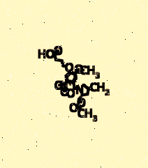 C=C1C[C@@H](COC(C)=O)N(C(=O)c2cc(OC)c(OCCCC(=O)O)cc2[N+](=O)[O-])C1